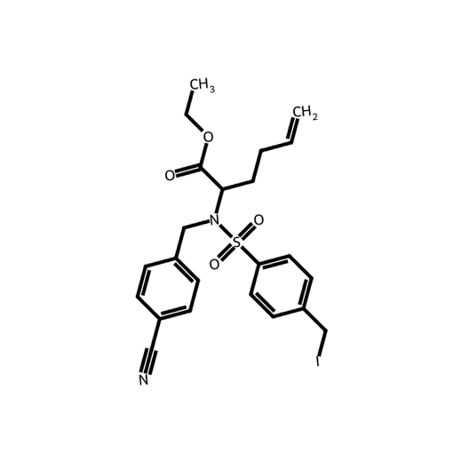 C=CCCC(C(=O)OCC)N(Cc1ccc(C#N)cc1)S(=O)(=O)c1ccc(CI)cc1